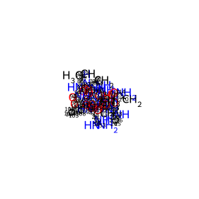 C=CC[C@H](NC(=O)[C@H](CCCNC(=N)N)NC(=O)[C@H](Cc1cc2ccccc2[nH]1)NC(=O)[C@H](C)NC(=O)[C@H](CC=C(C)C)NC(=O)[C@H](CCCNC(=N)N)NC(=O)C1CCCN1C(=O)[C@H](CC(=O)O)NC(=O)[C@H](CO)NC(=O)[C@H](CC=C)NC(=O)[C@H](CC=C(C)C)NC(=O)CNC(=O)COC1c2ccccc2-c2ccccc21)C(N)=O